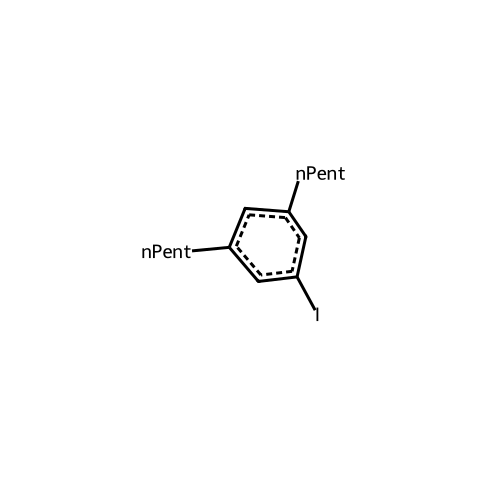 CCCCCc1cc(I)cc(CCCCC)c1